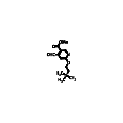 COC(=O)c1cnc(OCCS(C)(C)C)cc1C=O